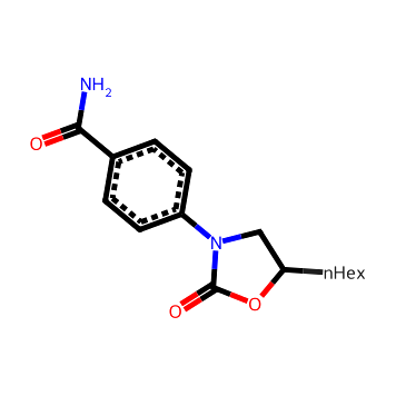 CCCCCCC1CN(c2ccc(C(N)=O)cc2)C(=O)O1